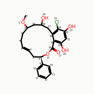 COC1CC/C=C/C[C@H](c2ccccc2)OC(=O)c2c(O)cc(O)c(Cl)c2CC(O)C1